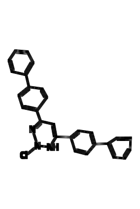 ClN1N=C(c2ccc(-c3ccccc3)cc2)C=C(c2ccc(-c3ccccc3)cc2)N1